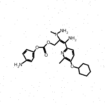 Cc1nc(/C(N)=C(\COC(=O)Oc2ccc(N)cc2)N(C)N)ccc1OC1CCCCC1